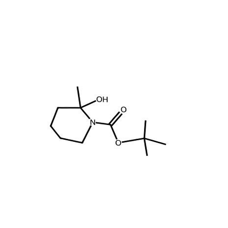 CC(C)(C)OC(=O)N1CCCCC1(C)O